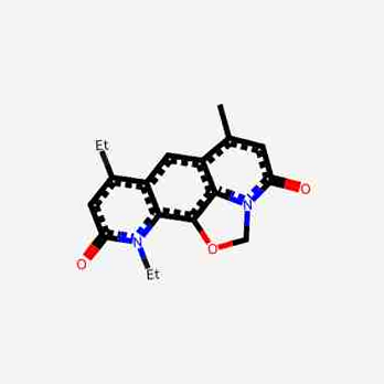 CCc1cc(=O)n(CC)c2c3c4c(cc12)c(C)cc(=O)n4CO3